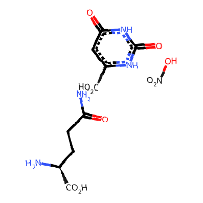 NC(=O)CC[C@H](N)C(=O)O.O=C(O)c1cc(=O)[nH]c(=O)[nH]1.O=[N+]([O-])O